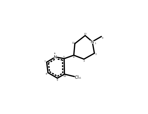 CN1CCC(c2ncccc2Cl)CC1